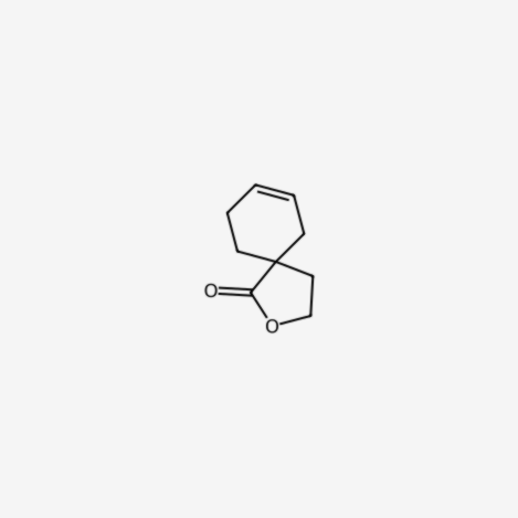 O=C1OCCC12CC=CCC2